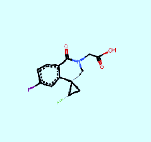 O=C(O)CN1C[C@@]2(C[C@@H]2F)c2cc(I)ccc2C1=O